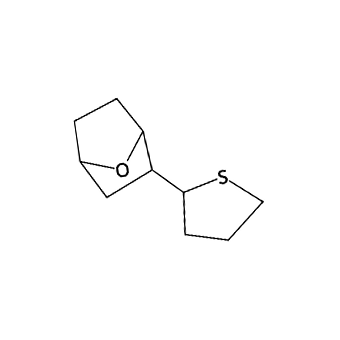 C1CSC(C2CC3CCC2O3)C1